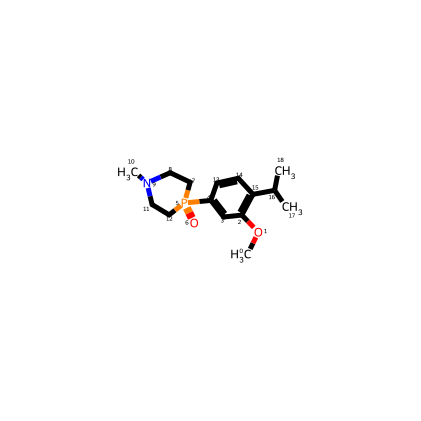 COc1cc(P2(=O)CCN(C)CC2)ccc1C(C)C